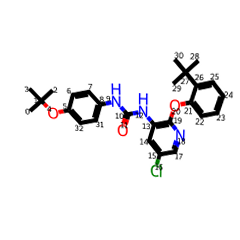 CC(C)(C)Oc1ccc(NC(=O)Nc2cc(Cl)cnc2Oc2ccccc2C(C)(C)C)cc1